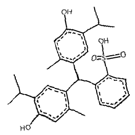 Cc1cc(O)c(C(C)C)cc1C(c1cc(C(C)C)c(O)cc1C)c1ccccc1S(=O)(=O)O